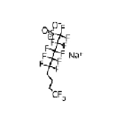 O=S(=O)([O-])C(F)(F)C(F)(F)C(F)(F)C(F)(F)C(F)(F)CCCC(F)(F)F.[Na+]